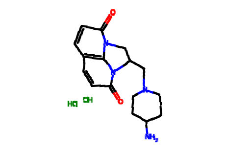 Cl.Cl.NC1CCN(CC2Cn3c(=O)ccc4ccc(=O)n2c43)CC1